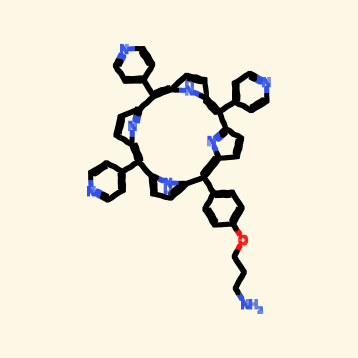 NCCCOc1ccc(-c2c3nc(c(-c4ccncc4)c4ccc([nH]4)c(-c4ccncc4)c4nc(c(-c5ccncc5)c5ccc2[nH]5)C=C4)C=C3)cc1